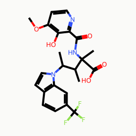 COc1ccnc(C(=O)NC(C)(C(=O)O)C(C)C(C)n2ccc3ccc(C(F)(F)F)cc32)c1O